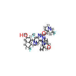 C#Cc1c(F)ccc2cc(O)cc(-c3ncc4c(N5C[C@H]6COC[C@@H]5C6)nc(OC[C@@]56CCCN5C[C@H](F)C6)nc4c3F)c12